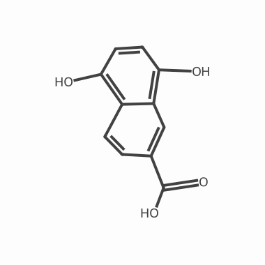 O=C(O)c1ccc2c(O)ccc(O)c2c1